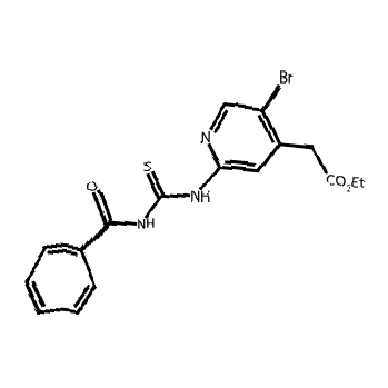 CCOC(=O)Cc1cc(NC(=S)NC(=O)c2ccccc2)ncc1Br